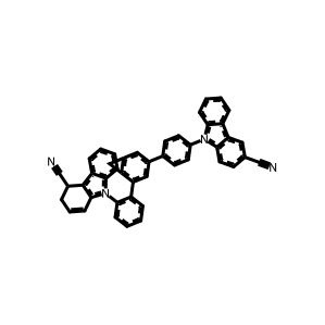 N#Cc1ccc2c(c1)c1ccccc1n2-c1ccc(-c2cc3c(c(-c4ccccc4-n4c5c(c6ccccc64)C(C#N)CC=C5)c2)C3)cc1